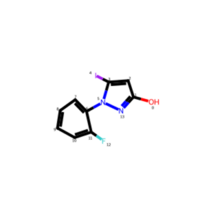 Oc1cc(I)n(-c2ccccc2F)n1